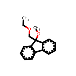 CCOCC1(OC)c2ccccc2-c2ccccc21